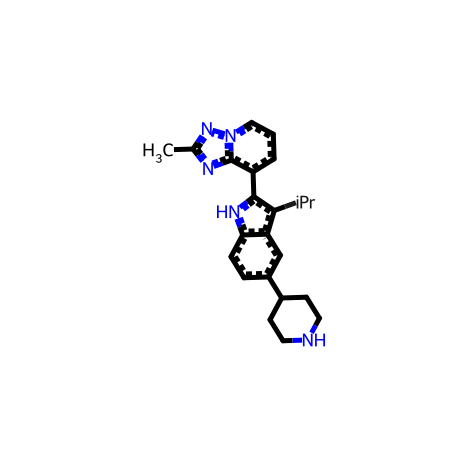 Cc1nc2c(-c3[nH]c4ccc(C5CCNCC5)cc4c3C(C)C)cccn2n1